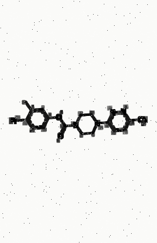 Cc1cc(OC(=O)N2CCN(c3ccc(C#N)nn3)CC2)ccc1C(C)C